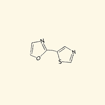 c1coc(-c2cncs2)n1